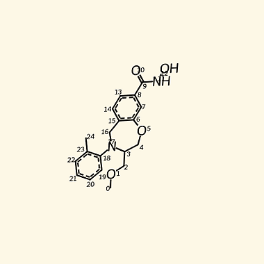 COCC1COc2cc(C(=O)NO)ccc2CN1c1ccccc1C